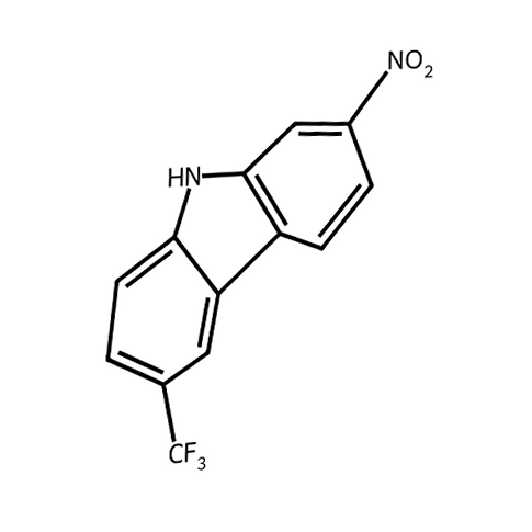 O=[N+]([O-])c1ccc2c(c1)[nH]c1ccc(C(F)(F)F)cc12